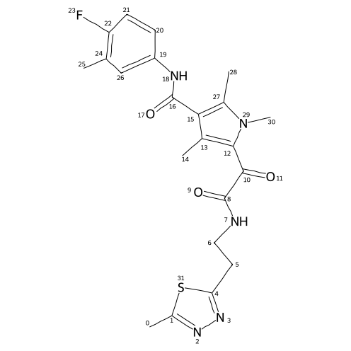 Cc1nnc(CCNC(=O)C(=O)c2c(C)c(C(=O)Nc3ccc(F)c(C)c3)c(C)n2C)s1